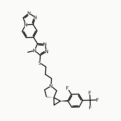 Cn1c(SCCCN2CC[C@]3(C[C@@H]3c3ccc(C(F)(F)F)cc3F)C2)nnc1-c1ccn2cnnc2c1